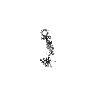 CCCCc1nc2c(N)nc3ccccc3c2n1CCCCNC(=O)C1CCC(CN2C(=O)CC(SCC3NC4C5CCCCCCCCC(C5)C4C3=O)C2=O)CC1